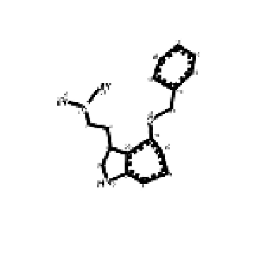 CC(C)N(CCC1CNc2cccc(OCc3ccccc3)c21)C(C)C